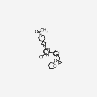 CC(=O)N1CCC2(CC1)CN(c1cc(Cl)nc(-c3cnn(CC4(OC5CCCCO5)CC4)c3)n1)C2